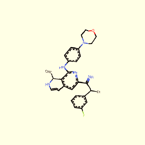 CCC(C(=N)c1cc2c(c(Nc3ccc(N4CCOCC4)cc3)n1)C(C=O)NC=C2)c1cccc(F)c1